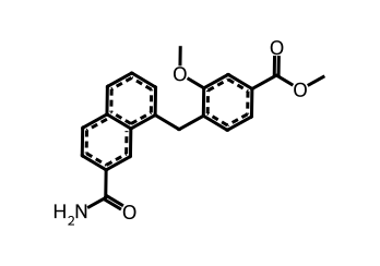 COC(=O)c1ccc(Cc2cccc3ccc(C(N)=O)cc23)c(OC)c1